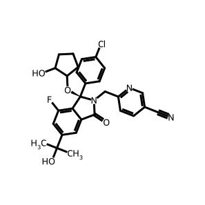 CC(C)(O)c1cc(F)c2c(c1)C(=O)N(Cc1ccc(C#N)cn1)[C@@]2(OC1CCCC1O)c1ccc(Cl)cc1